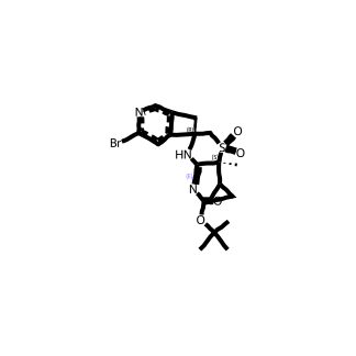 CC(C)(C)OC(=O)/N=C1/N[C@@]2(Cc3cnc(Br)cc32)CS(=O)(=O)[C@@]1(C)C1CC1